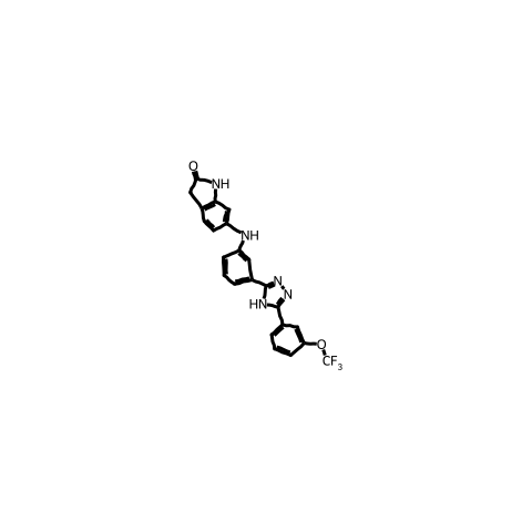 O=C1Cc2ccc(Nc3cccc(-c4nnc(-c5cccc(OC(F)(F)F)c5)[nH]4)c3)cc2N1